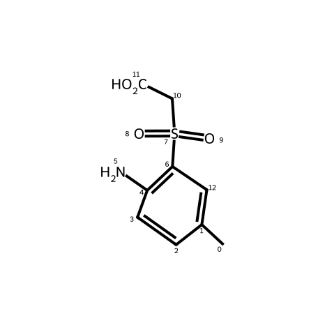 Cc1ccc(N)c(S(=O)(=O)CC(=O)O)c1